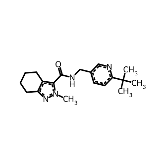 Cn1nc2c(c1C(=O)NCc1ccc(C(C)(C)C)nc1)CCCC2